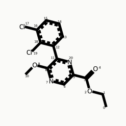 CCOC(=O)c1cnc(OC)c(-c2cccc(Cl)c2Cl)n1